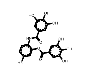 O=C(Nc1ccc(S)cc1OC(=O)c1cc(O)c(O)c(O)c1)c1cc(O)c(O)c(O)c1